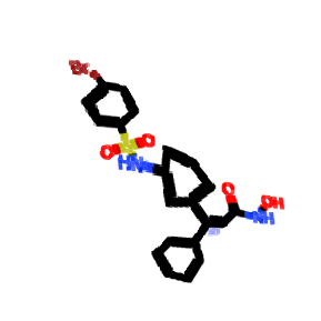 O=C(/C=C(/c1ccccc1)c1cccc(NS(=O)(=O)c2ccc(Br)cc2)c1)NO